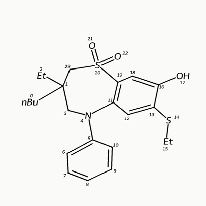 CCCCC1(CC)CN(c2ccccc2)c2cc(SCC)c(O)cc2S(=O)(=O)C1